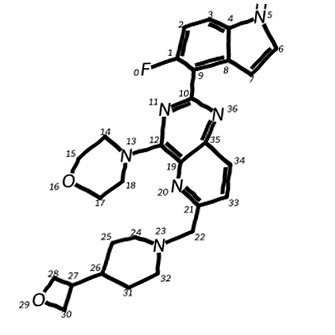 Fc1ccc2[nH]ccc2c1-c1nc(N2CCOCC2)c2nc(CN3CCC(C4COC4)CC3)ccc2n1